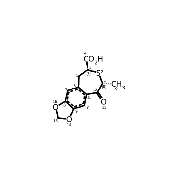 C[C@H]1S[C@H](C(=O)O)Cc2cc3c(cc2C1=O)OCO3